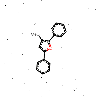 COc1cc(-c2ccccc2)oc1-c1ccccc1